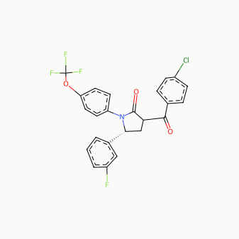 O=C(c1ccc(Cl)cc1)C1C[C@H](c2cccc(F)c2)N(c2ccc(OC(F)(F)F)cc2)C1=O